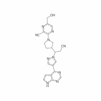 N#CCC(C1CCN(c2ncc(CO)nc2C#N)C1)n1cc(-c2ncnc3[nH]ccc23)cn1